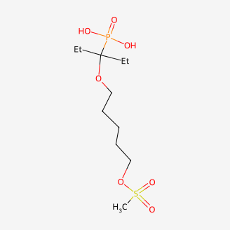 CCC(CC)(OCCCCCOS(C)(=O)=O)P(=O)(O)O